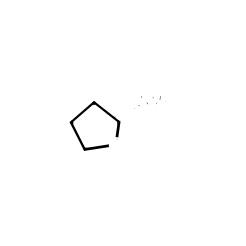 C[N][C@H]1CCCO1